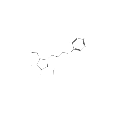 OC[C@@H]1[C@@H](O)[C@H](O)[C@@H](CO)N1CCCOc1ccccc1